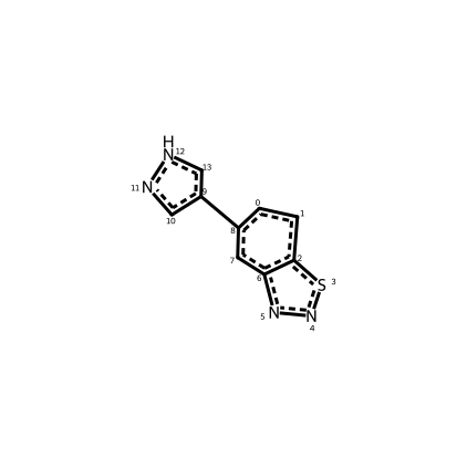 c1cc2snnc2cc1-c1cn[nH]c1